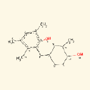 Cc1cc(C)c(O)c(CC2CCC(O)C(C)C2)c1C